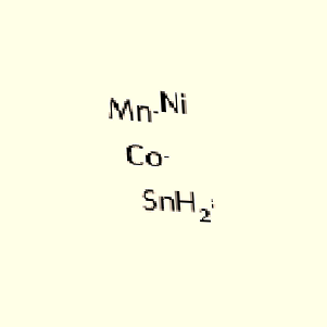 [Co].[Mn].[Ni].[SnH2]